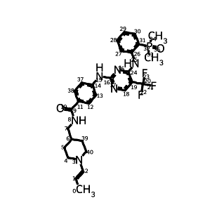 CC=CN1CCC(CNC(=O)c2ccc(Nc3ncc(C(F)(F)F)c(Nc4ccccc4P(C)(C)=O)n3)cc2)CC1